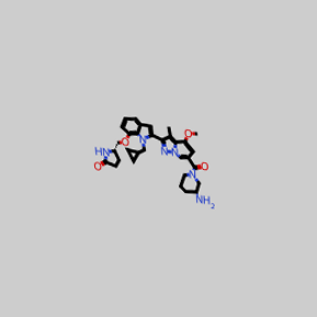 COc1cc(C(=O)N2CCC[C@@H](N)C2)cn2nc(-c3cc4cccc(OC[C@@H]5CCC(=O)N5)c4n3CC3CC3)c(C)c12